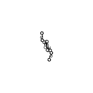 C[C@@]1(C(=O)OC(=O)[C@]2(C)CCC[C@]3(C)c4cc(OCc5ccccc5)ccc4CC[C@@H]23)CCC[C@]2(C)c3cc(OCc4ccccc4)ccc3CC[C@@H]12